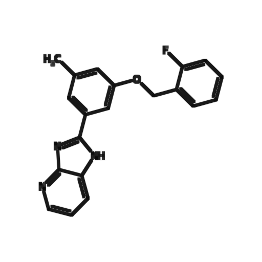 Cc1cc(OCc2ccccc2F)cc(-c2nc3ncccc3[nH]2)c1